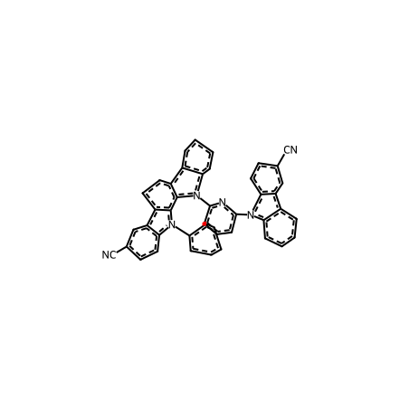 N#Cc1ccc2c(c1)c1ccccc1n2-c1cccc(-n2c3ccccc3c3ccc4c5cc(C#N)ccc5n(-c5ccccc5)c4c32)n1